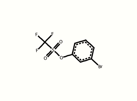 O=S(=O)(Oc1cccc(Br)c1)C(F)(F)F